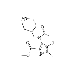 COC(=O)c1sc(C)c(Cl)c1N(CC1CCNCC1)C(C)=O